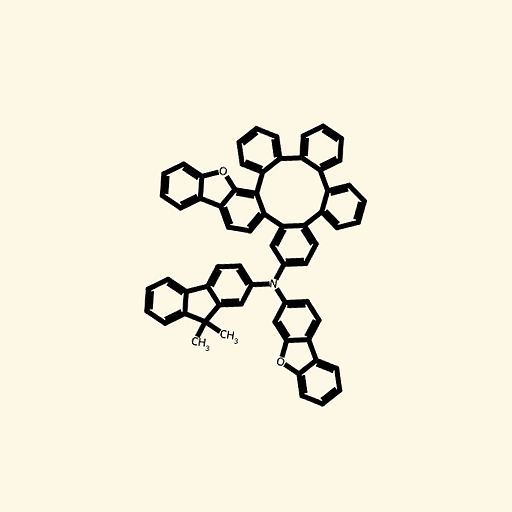 CC1(C)c2ccccc2-c2ccc(N(c3ccc4c(c3)oc3ccccc34)c3ccc4c5ccccc5c5ccccc5c5ccccc5c5c(ccc6c7ccccc7oc65)c4c3)cc21